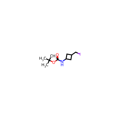 CC(C)(C)OC(=O)NC1CC(CI)C1